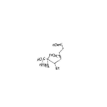 CCCCCCCCCCCCCC(CC)C(CCCCCC)(CCCCCCCC)C(=O)O